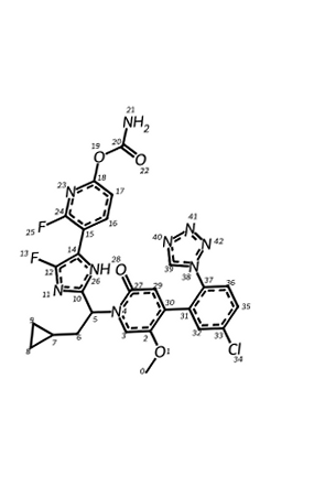 COc1cn(C(CC2CC2)c2nc(F)c(-c3ccc(OC(N)=O)nc3F)[nH]2)c(=O)cc1-c1cc(Cl)ccc1-n1cnnn1